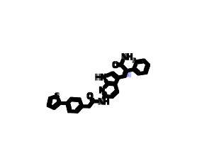 NC(=O)/C(=C\c1c[nH]c2nc(NC(=O)Cc3ccc(-c4cccs4)cc3)ccc12)c1ccccc1